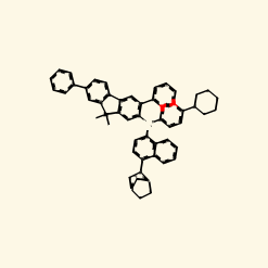 CC1(C)c2cc(-c3ccccc3)ccc2-c2cc(-c3ccccc3)c(N(c3ccc(C4CCCCC4)cc3)c3ccc(C4CC5CCC4C5)c4ccccc34)cc21